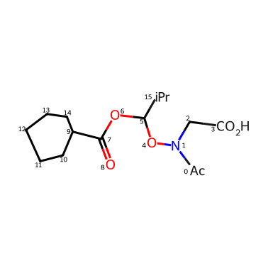 CC(=O)N(CC(=O)O)OC(OC(=O)C1CCCCC1)C(C)C